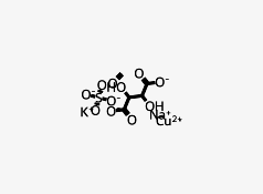 C=O.O=C([O-])C(O)C(O)C(=O)[O-].O=S(=O)([O-])[O-].[Cu+2].[K+].[Na+]